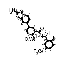 [2H]C(NC(=O)c1cc(-c2ccn3nc(N)nc3c2)cnc1OC)c1cc(OC(F)(F)F)ccc1F